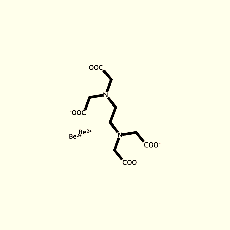 O=C([O-])CN(CCN(CC(=O)[O-])CC(=O)[O-])CC(=O)[O-].[Be+2].[Be+2]